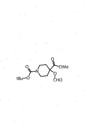 COC(=O)C1(OC=O)CCN(C(=O)OC(C)(C)C)CC1